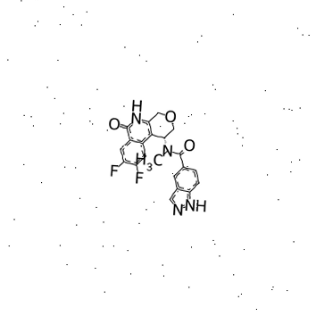 CN(C(=O)c1ccc2[nH]ncc2c1)[C@H]1COCc2[nH]c(=O)c3cc(F)c(F)cc3c21